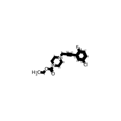 CCOC(=O)N1CCN(CC#Cc2cc(Cl)ccc2F)CC1